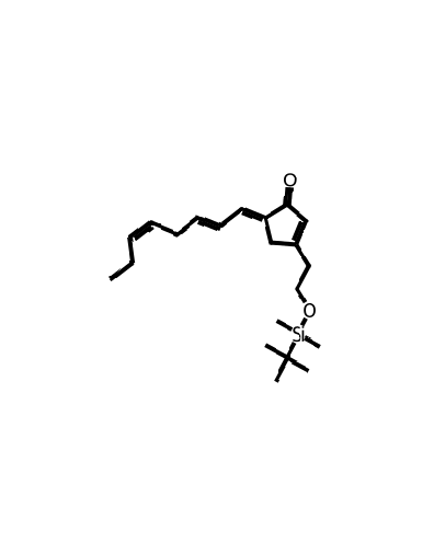 CC/C=C\C/C=C/C=C1\CC(CCO[Si](C)(C)C(C)(C)C)=CC1=O